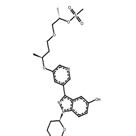 C[C@@H](CCOC[C@H](C)OS(C)(=O)=O)Oc1cncc(-c2nn([C@@H]3CCCCO3)c3ccc(O)cc23)c1